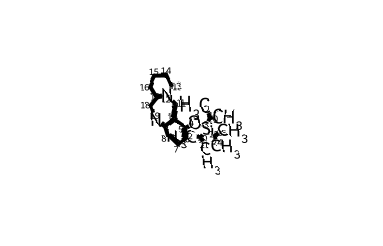 CC(C)[Si](Oc1cccc2c1=CN1CCCCC1CN=2)(C(C)C)C(C)C